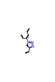 C=C/C=C(\C=C)n1cc(C=C)nn1